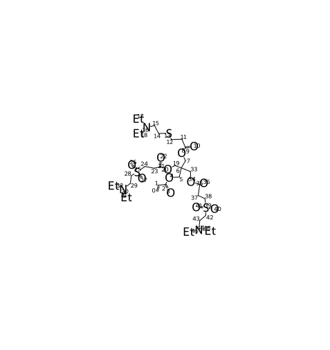 C=CC(=O)OCC(COC(=O)CCSCCN(CC)CC)(COC(=O)CCS(=O)(=O)CCN(CC)CC)COC(=O)CCS(=O)(=O)CCN(CC)CC